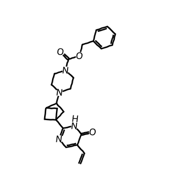 C=Cc1cnc(C23CC(C2)C(N2CCN(C(=O)OCc4ccccc4)CC2)C3)[nH]c1=O